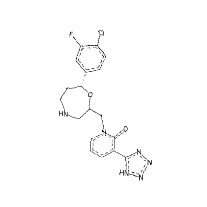 O=c1c(-c2nnn[nH]2)cccn1CC1CNCC[C@H](c2ccc(Cl)c(F)c2)O1